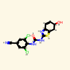 N#Cc1cc(Cl)c(NC(=O)Nc2nc3c(s2)CC(O)C=C3)c(Cl)c1